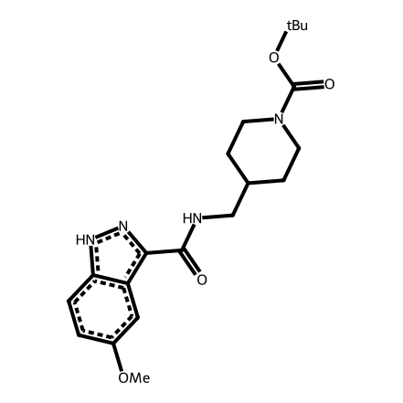 COc1ccc2[nH]nc(C(=O)NCC3CCN(C(=O)OC(C)(C)C)CC3)c2c1